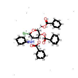 O=C(OC[C@H]1O[C@H](Br)[C@@H](Nc2ccccc2)[C@@H](OC(=O)c2ccccc2)[C@@H]1OC(=O)c1ccccc1)c1ccccc1